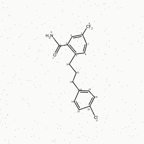 NC(=O)c1cc(C(F)(F)F)ccc1CC[CH]c1ccc(Cl)cc1